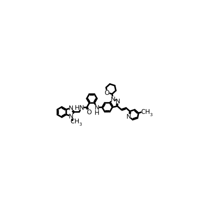 Cc1ccnc(C=Cc2nn(C3CCCCO3)c3cc(Nc4ccccc4C(=O)NCc4nc5ccccc5n4C)ccc23)c1